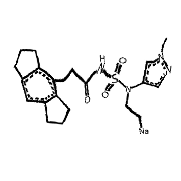 Cn1cc(N(C[CH2][Na])S(=O)(=O)NC(=O)Cc2c3c(cc4c2CCC4)CCC3)cn1